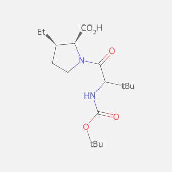 CC[C@@H]1CCN(C(=O)C(NC(=O)OC(C)(C)C)C(C)(C)C)[C@@H]1C(=O)O